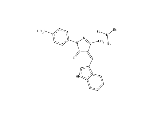 CC1=NN(c2ccc(S(=O)(=O)O)cc2)C(=O)C1=Cc1c[nH]c2ccccc12.CCN(CC)CC